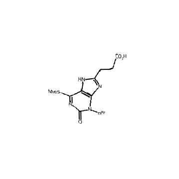 CCCn1c(=O)nc(SC)c2[nH]c(CCC(=O)O)nc21